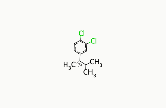 CC(C)[C@H](C)c1ccc(Cl)c(Cl)c1